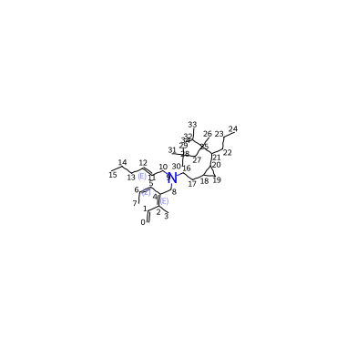 C=C/C(C)=C(\C=C/C)CN(C/C=C/CCC)CCC1CC1C(CCC)C(C)(CC(C)(C)C)C(C)C